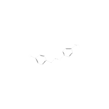 Nc1ccc(OCCc2ccc(Cl)cc2)cc1